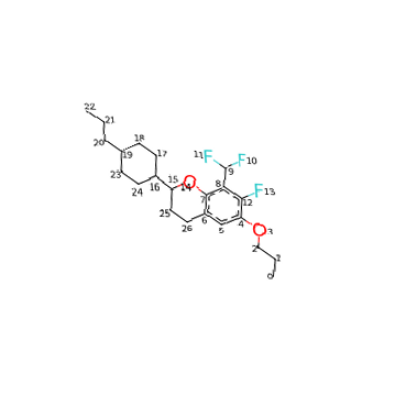 CCCOc1cc2c(c(C(F)F)c1F)OC(C1CCC(CCC)CC1)CC2